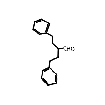 O=CC(CCc1ccccc1)CCc1ccccc1